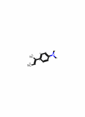 CN(C)c1ccc(/C(C#N)=C/C#N)cc1